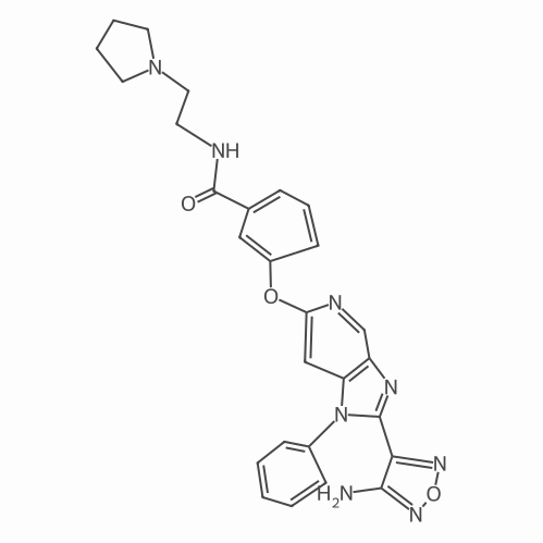 Nc1nonc1-c1nc2cnc(Oc3cccc(C(=O)NCCN4CCCC4)c3)cc2n1-c1ccccc1